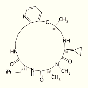 CC(C)C[C@H]1NC(=O)[C@@H](C)N(C)C(=O)[C@H](C2CC2)NC[C@@H](C)Oc2cccnc2CCCNC1=O